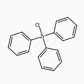 [Cl][Zr]([c]1ccccc1)([c]1ccccc1)[c]1ccccc1